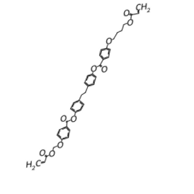 C=CC(=O)OCCCCOc1ccc(C(=O)Oc2ccc(CCc3ccc(OC(=O)c4ccc(OCOC(=O)C=C)cc4)cc3)cc2)cc1